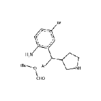 CC(=O)C(c1cc(Br)ccc1N)C1CCNC1.CC(C)(C)OC=O